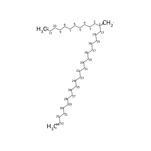 [CH2]C(CCCCCCCCCCC)CCCCCCCCCCCCCCCCCCCCCC